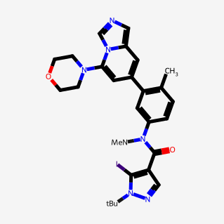 CNN(C(=O)c1cnn(C(C)(C)C)c1I)c1ccc(C)c(-c2cc(N3CCOCC3)n3cncc3c2)c1